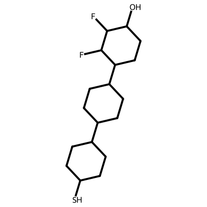 OC1CCC(C2CCC(C3CCC(S)CC3)CC2)C(F)C1F